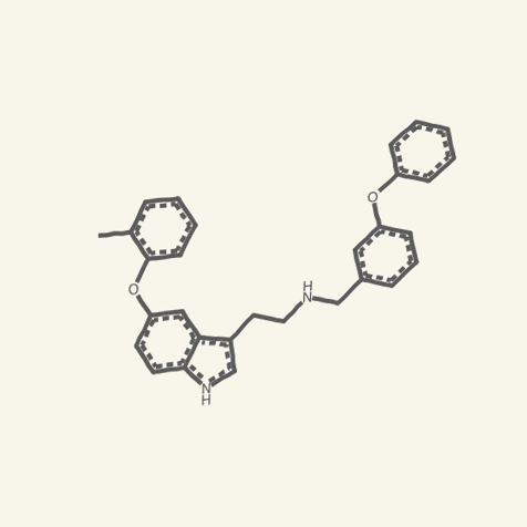 Cc1ccccc1Oc1ccc2[nH]cc(CCNCc3cccc(Oc4ccccc4)c3)c2c1